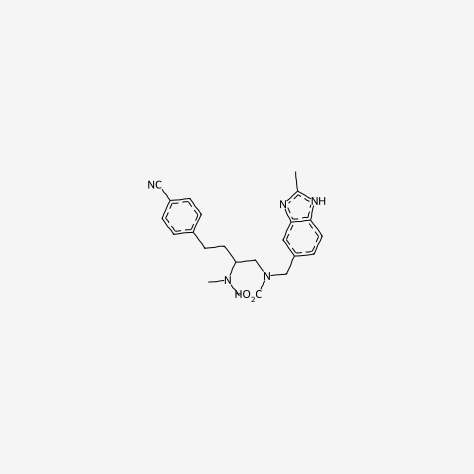 Cc1nc2cc(CN(CC(CCc3ccc(C#N)cc3)N(C)C)C(=O)O)ccc2[nH]1